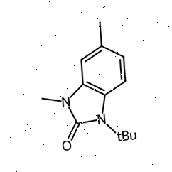 Cc1ccc2c(c1)n(C)c(=O)n2C(C)(C)C